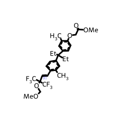 CCC(CC)(c1ccc(/C=C/C(OCOC)(C(F)(F)F)C(F)(F)F)c(C)c1)c1ccc(OCC(=O)OC)c(C)c1